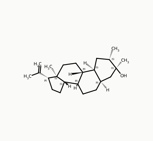 C=C(C)[C@H]1CC[C@H]2[C@@H]3CC[C@@H]4C[C@](C)(O)[C@@H](C)C[C@@H]4[C@H]3CC[C@]12C